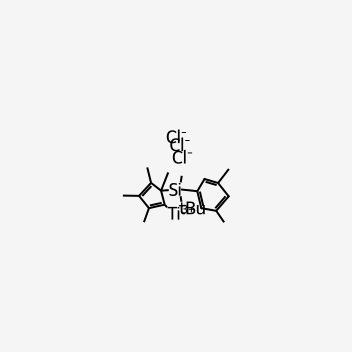 CC1=C(C)C(C)([Si](C)(c2cc(C)cc(C)c2)C(C)(C)C)[C]([Ti+3])=C1C.[Cl-].[Cl-].[Cl-]